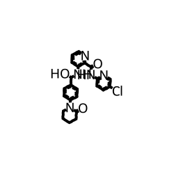 O=C(Nc1ccc(Cl)cn1)c1ncccc1NC(O)c1ccc(N2CCCCC2=O)cc1